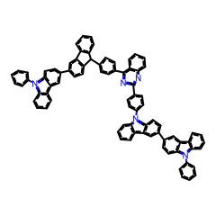 c1ccc(-n2c3ccccc3c3cc(-c4ccc5c(c4)-c4ccccc4C5c4ccc(-c5nc(-c6ccc(-n7c8ccccc8c8cc(-c9ccc%10c(c9)c9ccccc9n%10-c9ccccc9)ccc87)cc6)nc6ccccc56)cc4)ccc32)cc1